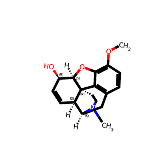 COc1ccc2c3c1O[C@@H]1[C@H](O)C=C[C@@H]4[C@H](C2)N(C)CC[C@]341